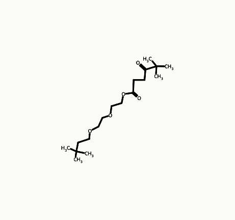 CC(C)(C)CCOCCOCCOC(=O)CCC(=O)C(C)(C)C